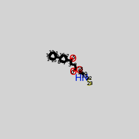 O=C(CCC(=O)c1ccc(-c2ccccc2)cc1)OCCNC=S